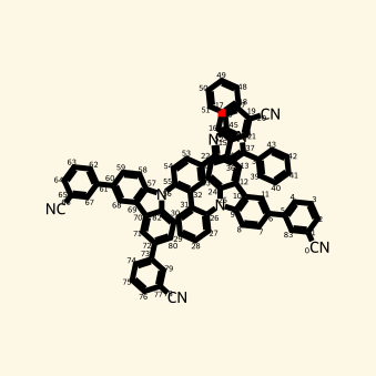 N#Cc1cccc(-c2ccc3c(c2)c2cc(-c4cccc(C#N)c4)ccc2n3-c2ccccc2-c2cc(-c3cc(-c4ccccc4)nc(-c4ccccc4)n3)ccc2-n2c3ccc(-c4cccc(C#N)c4)cc3c3cc(-c4cccc(C#N)c4)ccc32)c1